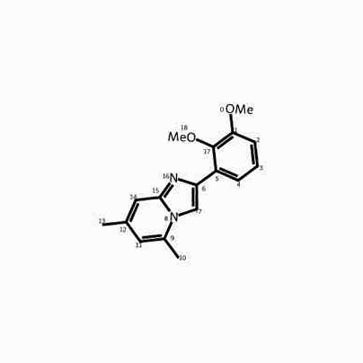 COc1cccc(-c2[c]n3c(C)cc(C)cc3n2)c1OC